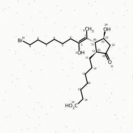 CC(=C(O)CCCCCCBr)[C@H]1[C@H](CCCCCCC(=O)O)C(=O)C[C@@H]1O